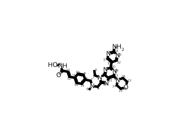 CCn1c(CN(C)Cc2ccc(C=CC(=O)NO)cc2)nc2c(N3CCOCC3)nc(-c3cnc(N)nc3)nc21